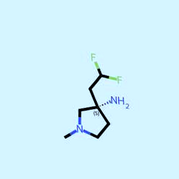 CN1CC[C@](N)(CC(F)F)C1